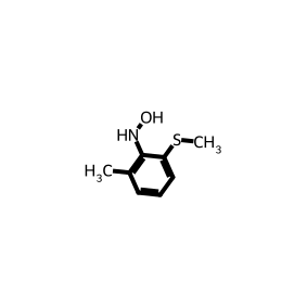 CSc1cccc(C)c1NO